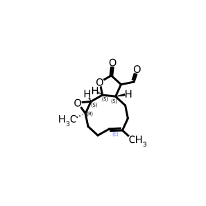 C/C1=C\CC[C@@]2(C)O[C@H]2[C@H]2OC(=O)C(C=O)[C@@H]2CC1